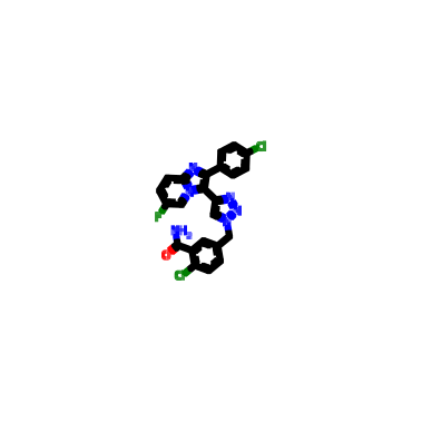 NC(=O)c1cc(Cn2cc(-c3c(-c4ccc(Cl)cc4)nc4ccc(F)cn34)nn2)ccc1Cl